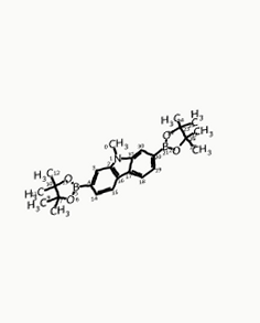 Cn1c2cc(B3OC(C)(C)C(C)(C)O3)ccc2c2ccc(B3OC(C)(C)C(C)(C)O3)cc21